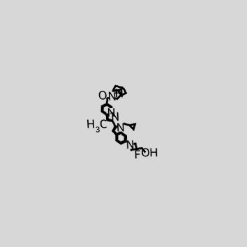 Cc1c(-c2cc3ccc(N4CC(F)(CO)C4)cc3n2CC2CC2)nn2cc(C(=O)N3CC4CC5CC3[C@H]54)ccc12